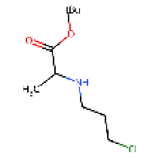 CC(NCCCCl)C(=O)OC(C)(C)C